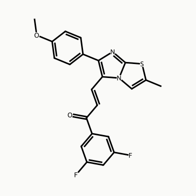 COc1ccc(-c2nc3sc(C)cn3c2/C=C/C(=O)c2cc(F)cc(F)c2)cc1